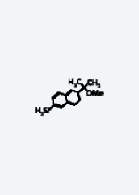 COC(C)(C)c1ccc2cc([SiH3])ccc2c1